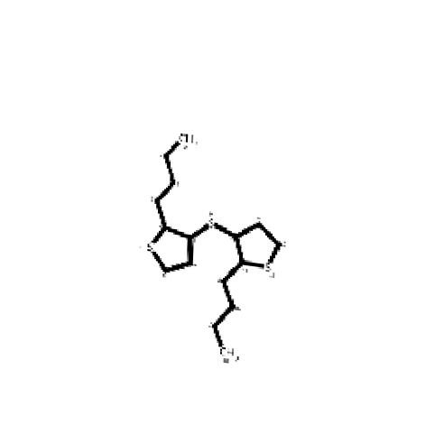 CCCCC1SCCC1SC1CCSC1CCCC